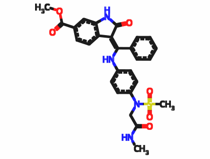 CNC(=O)CN(c1ccc(NC(=C2C(=O)Nc3cc(C(=O)OC)ccc32)c2ccccc2)cc1)S(C)(=O)=O